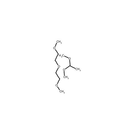 COC(C)OC.COCCOCCOC